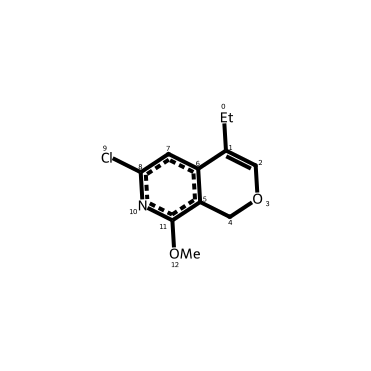 CCC1=COCc2c1cc(Cl)nc2OC